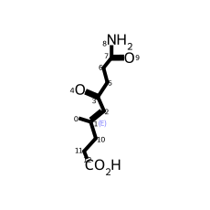 C/C(=C\C(=O)CCC(N)=O)CCC(=O)O